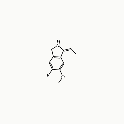 C/C=C1/NCc2cc(F)c(OC)cc21